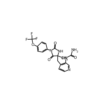 CC1(Cc2ccncc2NC(N)=O)NC(=O)N(c2ccc(OC(F)(F)F)cc2)C1=O